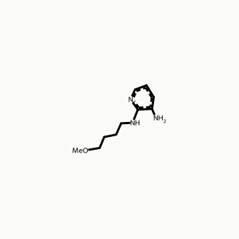 COCCCCNc1ncccc1N